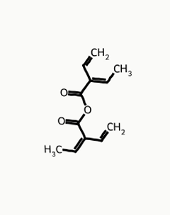 C=CC(=CC)C(=O)OC(=O)C(C=C)=CC